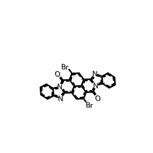 O=c1c2c(Br)cc3c4c(c(Br)cc(c24)c2nc4ccccc4n12)c(=O)n1c2ccccc2nc31